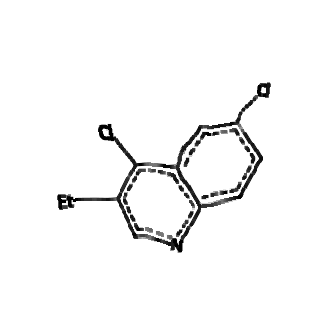 [CH2]Cc1cnc2ccc(Cl)cc2c1Cl